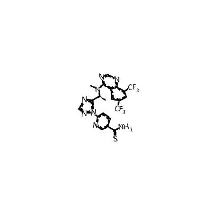 C[C@@H](c1ncnn1-c1ccc(C(N)=S)cn1)N(C)c1ncnc2c(C(F)(F)F)cc(C(F)(F)F)cc12